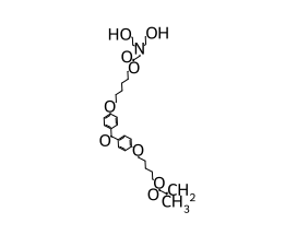 C=C(C)C(=O)OCCCCCOc1ccc(C(=O)c2ccc(OCCCCCCOC(=O)CN(CCO)CCO)cc2)cc1